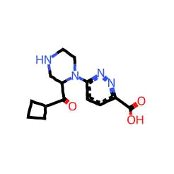 O=C(O)c1ccc(N2CCNCC2C(=O)C2CCC2)nn1